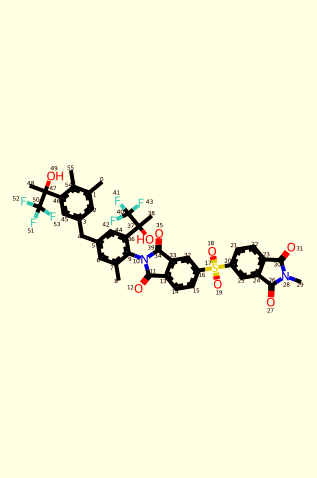 Cc1cc(Cc2cc(C)c(N3C(=O)c4ccc(S(=O)(=O)c5ccc6c(c5)C(=O)N(C)C6=O)cc4C3=O)c(C(C)(O)C(F)(F)F)c2)cc(C(C)(O)C(F)(F)F)c1C